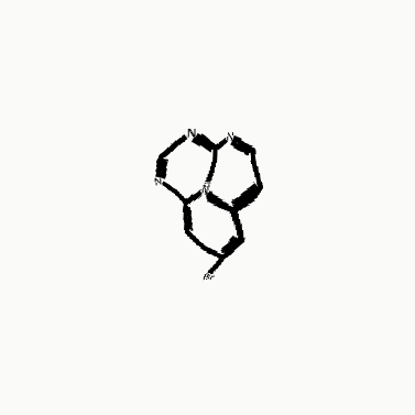 BrC1=CC2=CC=NC3=NC=NC(=C1)N23